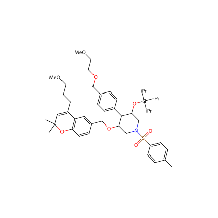 COCCCC1=CC(C)(C)Oc2ccc(COC3CN(S(=O)(=O)c4ccc(C)cc4)CC(O[Si](C(C)C)(C(C)C)C(C)C)C3c3ccc(COCCOC)cc3)cc21